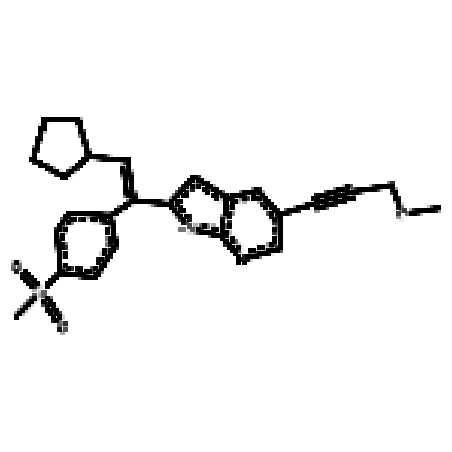 COCC#Cc1cnc2[nH]c(C(=CC3CCCC3)c3ccc(S(C)(=O)=O)cc3)cc2c1